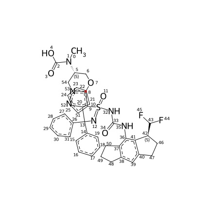 CN(C(=O)O)[C@@H]1COc2c(S(=O)(=NC(c3ccccc3)(c3ccccc3)c3ccccc3)NC(=O)Nc3c4c(cc5c3[C@@H](C(F)F)CC5)CCC4)cnn2C1